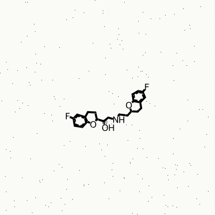 O[C@H](CNCCC1CCc2cc(F)ccc2O1)C1CCc2cc(F)ccc2O1